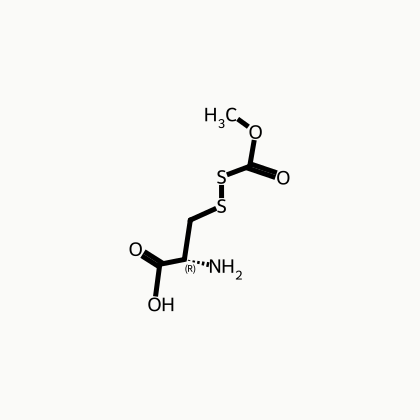 COC(=O)SSC[C@H](N)C(=O)O